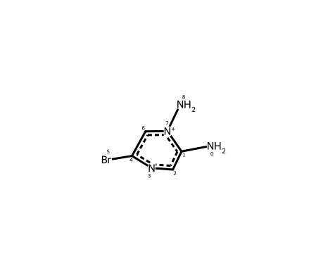 Nc1cnc(Br)c[n+]1N